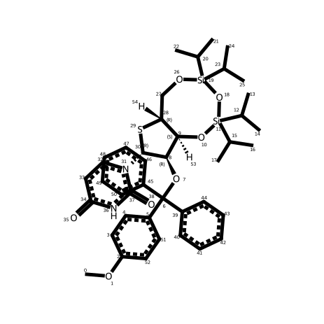 COc1ccc(C(O[C@@H]2[C@@H]3O[Si](C(C)C)(C(C)C)O[Si](C(C)C)(C(C)C)OC[C@H]3S[C@H]2n2ccc(=O)[nH]c2=O)(c2ccccc2)c2ccccc2)cc1